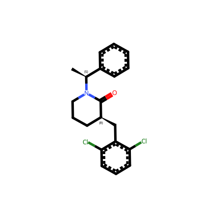 C[C@@H](c1ccccc1)N1CCC[C@H](Cc2c(Cl)cccc2Cl)C1=O